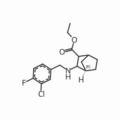 CCOC(=O)C1C2CC[C@H](C2)C1NCc1ccc(F)c(Cl)c1